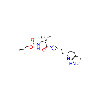 CCOC(=O)[C@H](CC(=O)N1CC(CCc2ccc3c(n2)NCCC3)C1)NC(=O)OCC1CCC1